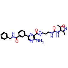 Cc1noc(C)c1NC(=O)NCCCNC(=O)c1nc(-c2cccc(C(=O)NCc3ccccc3)c2)cnc1N